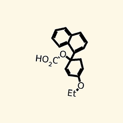 CCOC1=CCC(OC(=O)O)(c2cccc3ccccc23)C=C1